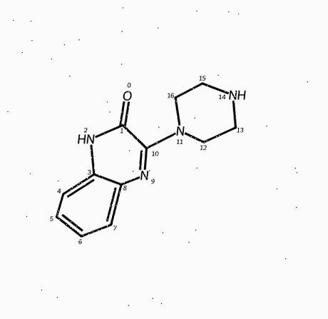 O=c1[nH]c2ccccc2nc1N1CCNCC1